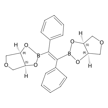 c1ccc(C(B2O[C@H]3COC[C@H]3O2)=C(B2O[C@H]3COC[C@H]3O2)c2ccccc2)cc1